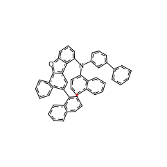 c1ccc(-c2cccc(N(c3cccc4ccccc34)c3cccc4oc5c6ccccc6c(-c6cccc7ccccc67)cc5c34)c2)cc1